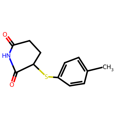 Cc1ccc(SC2CCC(=O)NC2=O)cc1